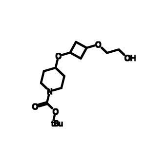 CC(C)(C)OC(=O)N1CCC(OC2CC(OCCO)C2)CC1